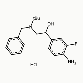 CC(C)(C)N(Cc1ccccc1)CC(O)c1ccc(N)c(F)c1.Cl